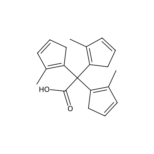 CC1=C(C(C(=O)O)(C2=C(C)C=CC2)C2=C(C)C=CC2)CC=C1